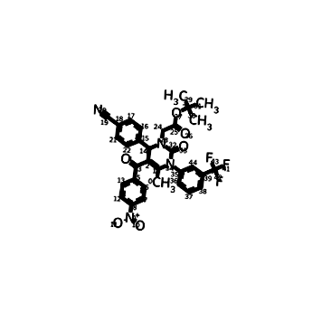 CC1=C(C(=O)c2ccc([N+](=O)[O-])cc2)C(c2ccc(C#N)cc2)N(CC(=O)OC(C)(C)C)C(=O)N1c1cccc(C(F)(F)F)c1